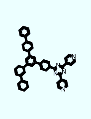 C1=CC(C2=CC(c3cc(C4=CCC(c5nc(-c6ccncc6)nc(-c6ccncc6)n5)C=C4)cc(C4=CC=C(c5ccccc5)CC4)c3)CC=C2)=CCC1